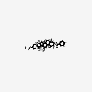 CC1CC[C@@]2(OC1)O[C@H]1C[C@H]3[C@@H]4CC[C@H]5C[C@@H](OC(=O)c6ccccc6)CC[C@]5(C)C4=CC(=O)[C@]3(C)C1[C@@H]2C